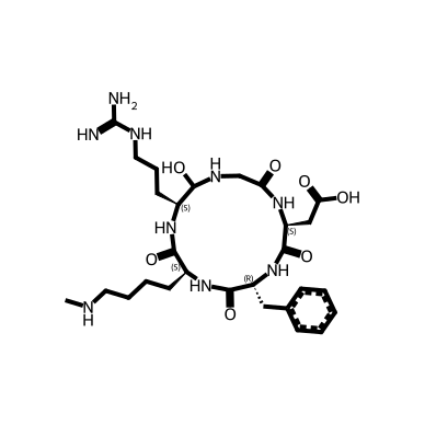 CNCCCC[C@@H]1NC(=O)[C@@H](Cc2ccccc2)NC(=O)[C@H](CC(=O)O)NC(=O)CNC(O)[C@H](CCCNC(=N)N)NC1=O